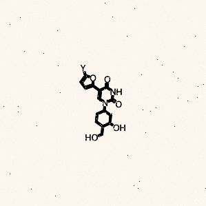 O=c1[nH]c(=O)n(C2CCC(CO)C(O)C2)cc1-c1cc[c]([Y])o1